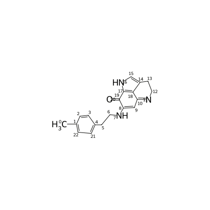 Cc1ccc(CCNC2=CC3=NCCc4c[nH]c(c43)C2=O)cc1